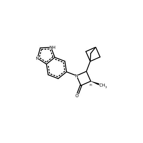 C[C@H]1C(=O)N(c2ccc3nc[nH]c3c2)C1C12CC(C1)C2